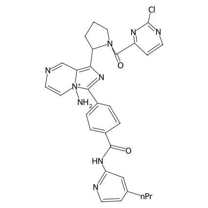 CCCc1ccnc(NC(=O)c2ccc(C3=NC(C4CCCN4C(=O)c4ccnc(Cl)n4)=C4C=NC=C[N+]34N)cc2)c1